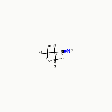 CC(C)(C)C(C)(C#N)C(C)(C)C